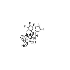 OC[C@H]1O[C@]2(OCC[C@H]2NCc2c(O)ccc(F)c2F)[C@H](O)[C@@H](n2cc(-c3cc(F)c(F)c(F)c3)nn2)[C@H]1O